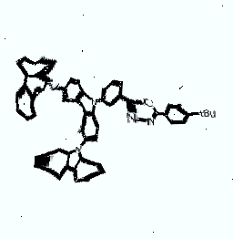 CC(C)(C)c1ccc(-c2nnc(-c3cccc(-n4c5ccc(-n6c7ccccc7c7ccccc76)cc5c5cc(-n6c7ccccc7c7ccccc76)ccc54)c3)o2)cc1